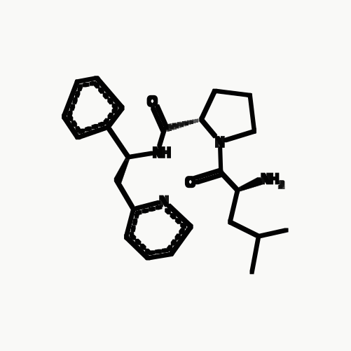 CC(C)C[C@H](N)C(=O)N1CCC[C@H]1C(=O)N[C@@H](Cc1ccccn1)c1ccccc1